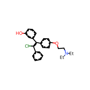 CCN(CC)CCOc1ccc(/C(=C(/Cl)c2ccccc2)c2cccc(O)c2)cc1